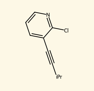 CC(C)C#Cc1cccnc1Cl